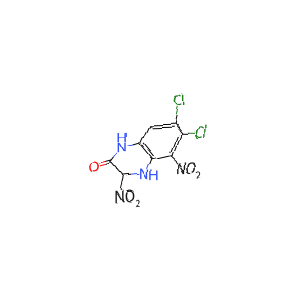 O=C1Nc2cc(Cl)c(Cl)c([N+](=O)[O-])c2NC1[N+](=O)[O-]